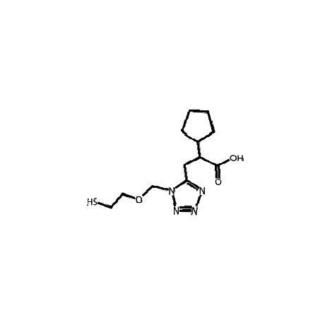 O=C(O)C(Cc1nnnn1COCCS)C1CCCC1